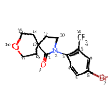 O=C1N(c2ccc(Br)cc2C(F)(F)F)CCC12CCOCC2